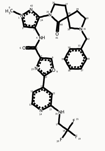 Cn1cc(NC(=O)c2coc(-c3ccnc(NCC(F)(F)F)c3)n2)c(N2CCC3(CCN(Cc4ccccc4)C3)C2=O)n1